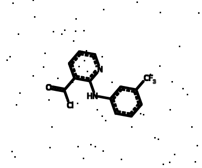 O=C(Cl)c1cccnc1Nc1cccc(C(F)(F)F)c1